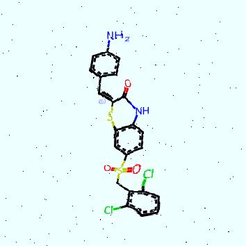 Nc1ccc(/C=C2/Sc3cc(S(=O)(=O)Cc4c(Cl)cccc4Cl)ccc3NC2=O)cc1